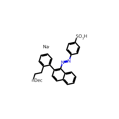 CCCCCCCCCCCCc1ccccc1-c1ccc2ccccc2c1N=Nc1ccc(S(=O)(=O)O)cc1.[Na]